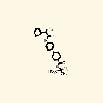 CC(C(=O)Nc1ccc([C@H]2CC[C@H](C(=O)NC(C)(C)C(=O)O)CC2)cc1)c1ccccc1